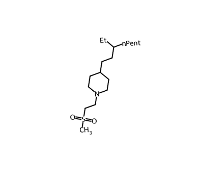 CCCCCC(CC)CCC1CCN(CCS(C)(=O)=O)CC1